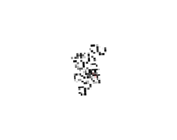 Cc1cc(-c2cc(C(C)(C)C)cc(-c3cc(C)cc(-c4cccc5ccccc45)c3O)c2OCC2=NC34C=CC=CC23CCCC4)c(O)c(-c2cccc3ccccc23)c1